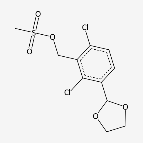 CS(=O)(=O)OCc1c(Cl)ccc(C2OCCO2)c1Cl